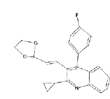 Fc1ccc(-c2c(/C=C/C3OCCO3)c(C3CC3)nc3ccccc23)cc1